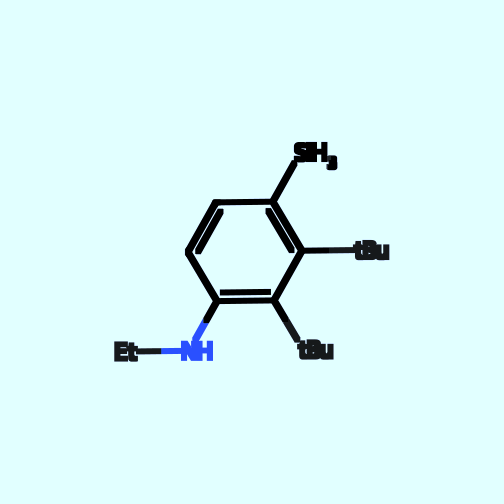 CCNc1ccc([SiH3])c(C(C)(C)C)c1C(C)(C)C